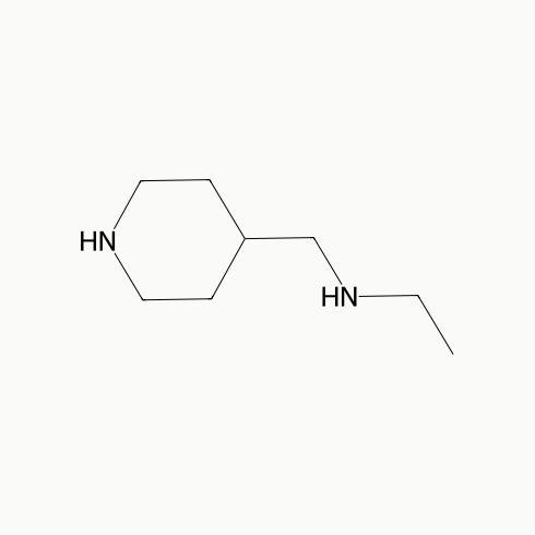 CCNCC1CCNCC1